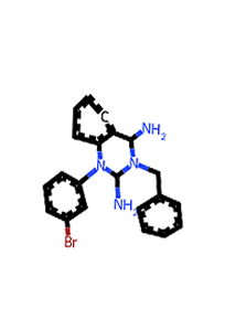 NC1c2ccccc2N(c2cccc(Br)c2)C(N)N1Cc1ccccc1